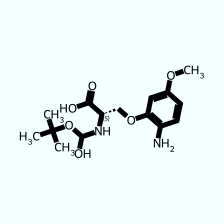 COc1ccc(N)c(OC[C@H](NC(O)OC(C)(C)C)C(=O)O)c1